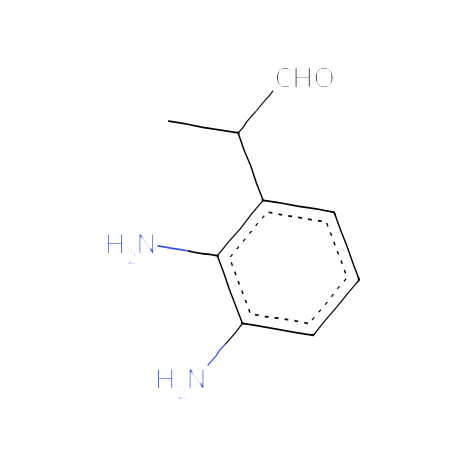 CC(C=O)c1cccc(N)c1N